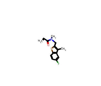 C=CC(=O)N(C)Cc1sc2ccc(F)cc2c1C